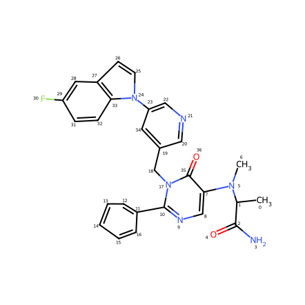 CC(C(N)=O)N(C)c1cnc(-c2ccccc2)n(Cc2cncc(-n3ccc4cc(F)ccc43)c2)c1=O